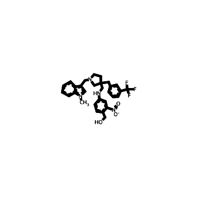 Cn1cc(CN2CCC(CNc3ccc(CO)c([N+](=O)[O-])c3)(Cc3cccc(C(F)(F)F)c3)C2)c2ccccc21